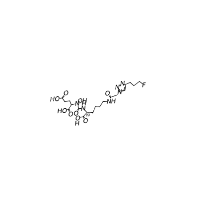 O=C(O)CCC(C(=O)O)N(O)C(=O)N[C@@H](CCCCNC(=O)Cn1cc(CCCF)nn1)C(=O)O